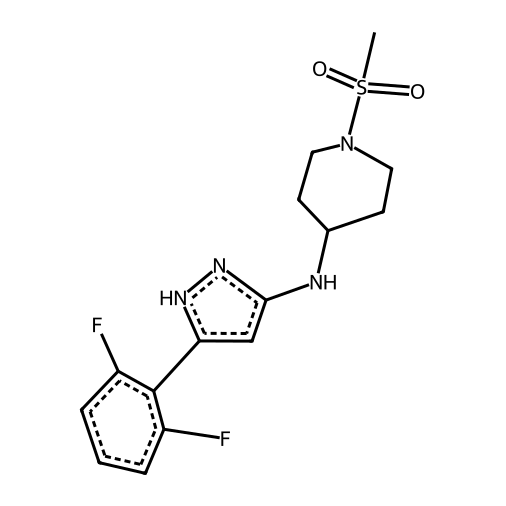 CS(=O)(=O)N1CCC(Nc2cc(-c3c(F)cccc3F)[nH]n2)CC1